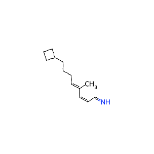 CC(/C=C\C=N)=C\CCCC1CCC1